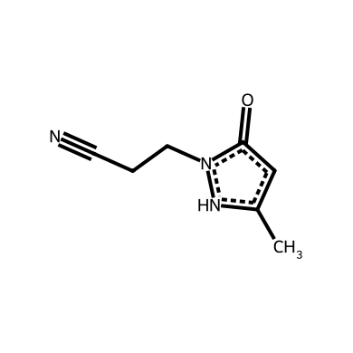 Cc1cc(=O)n(CCC#N)[nH]1